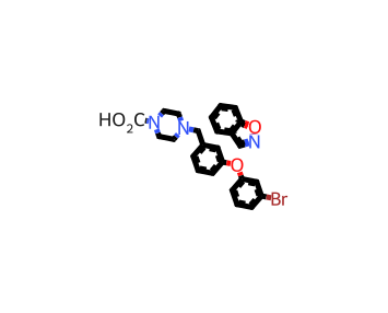 O=C(O)N1CCN(Cc2cccc(Oc3cccc(Br)c3)c2)CC1.c1ccc2oncc2c1